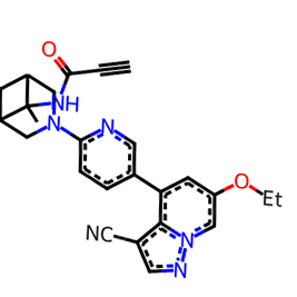 C#CC(=O)NC1(C)C2CC1CN(c1ccc(-c3cc(OCC)cn4ncc(C#N)c34)cn1)C2